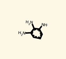 [NH]c1cccc(N)c1N